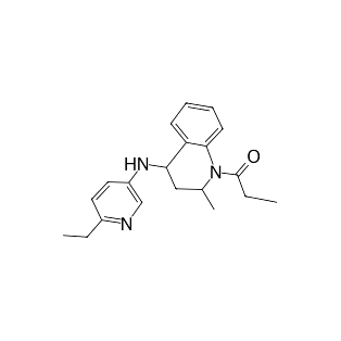 CCC(=O)N1c2ccccc2C(Nc2ccc(CC)nc2)CC1C